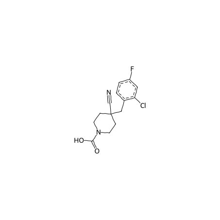 N#CC1(Cc2ccc(F)cc2Cl)CCN(C(=O)O)CC1